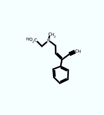 C#CC(=CCN(C)CC(=O)O)c1ccccc1